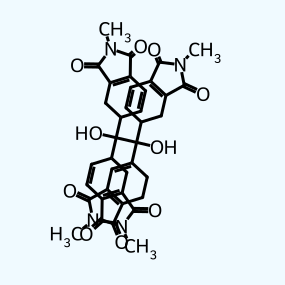 CN1C(=O)C2=C(CCC(C(O)(C3C=CC4=C(C3)C(=O)N(C)C4=O)C(O)(C3C=CC4=C(C3)C(=O)N(C)C4=O)C3C=CC4=C(C3)C(=O)N(C)C4=O)=C2)C1=O